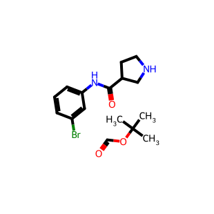 CC(C)(C)OC=O.O=C(Nc1cccc(Br)c1)C1CCNC1